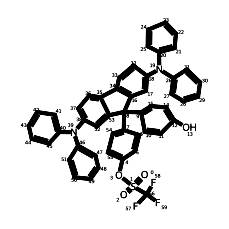 O=S(=O)(Oc1ccc(C2(c3ccc(O)cc3)c3cc(N(c4ccccc4)c4ccccc4)ccc3-c3ccc(N(c4ccccc4)c4ccccc4)cc32)cc1)C(F)(F)F